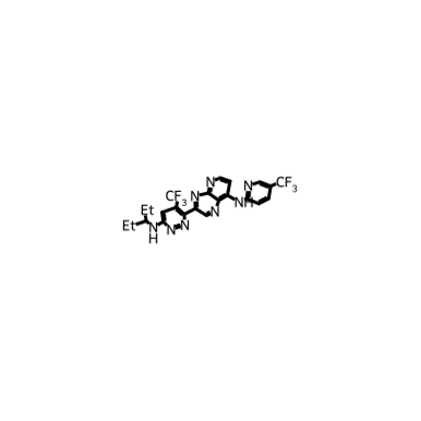 CCC(CC)Nc1cc(C(F)(F)F)c(-c2cnc3c(Nc4ccc(C(F)(F)F)cn4)ccnc3n2)nn1